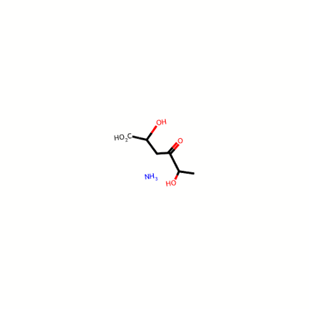 CC(O)C(=O)CC(O)C(=O)O.N